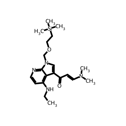 CCNc1ccnc2c1c(C(=O)C=CN(C)C)cn2COCC[Si](C)(C)C